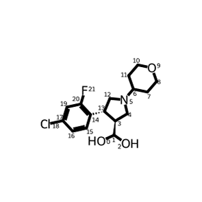 OC(O)[C@@H]1CN(C2CCOCC2)C[C@H]1c1ccc(Cl)cc1F